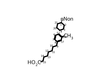 CCCCCCCCC[C@H]1CC[C@H](c2ccc(CCCCCCCC(=O)O)cc2C)CC1